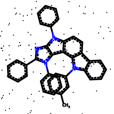 Cc1cccc(-n2c3ccccc3c3ccc4c(c5c(nc(-c6ccccc6)n5-c5ccccc5)n4-c4ccccc4)c32)c1